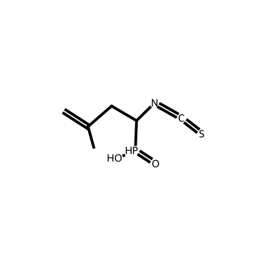 C=C(C)CC(N=C=S)[PH](=O)O